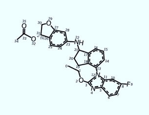 CCOc1nc2ccc(F)cc2n1-c1cccc2c1CCC2Nc1ccc2c(c1)OC[C@H]2OC(C)=O